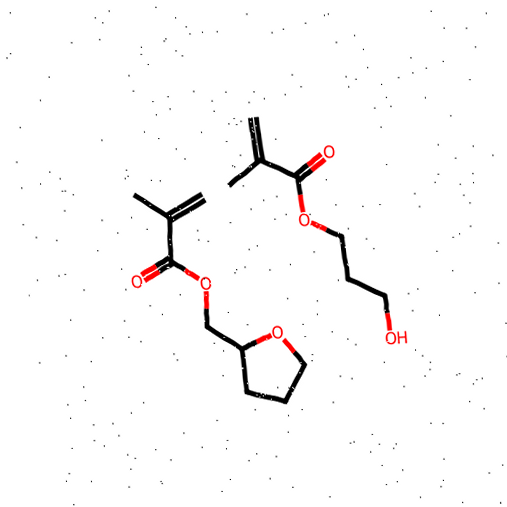 C=C(C)C(=O)OCC1CCCO1.C=C(C)C(=O)OCCCO